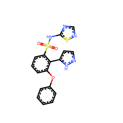 O=S(=O)(Nc1ncns1)c1cccc(Oc2ccccc2)c1-c1ccn[nH]1